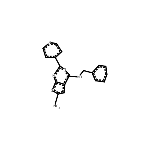 O=[N+]([O-])c1cc2c(NCc3ccccc3)nc(-c3ccncc3)nc2s1